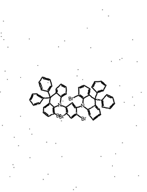 Brc1cc(Br)c(N2c3ccccc3C(c3ccccc3)(c3ccccc3)c3cccc(Br)c32)cc1N1c2ccccc2C(c2ccccc2)(c2ccccc2)c2cccc(Br)c21